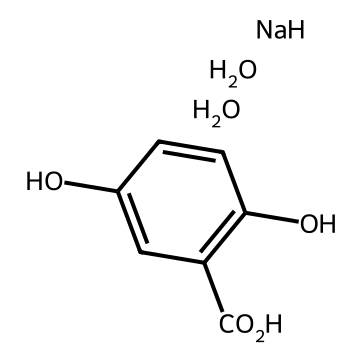 O.O.O=C(O)c1cc(O)ccc1O.[NaH]